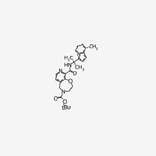 Cc1cccn2c(C(C)(C)NC(=O)c3nccc4c3OCCN(C(=O)OC(C)(C)C)C4)ccc12